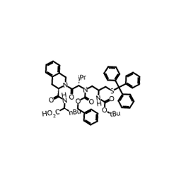 CCCC[C@H](NC(=O)[C@H]1Cc2ccccc2CN1C(=O)[C@H](C(C)C)N(CC(CSC(c1ccccc1)(c1ccccc1)c1ccccc1)NC(=O)OC(C)(C)C)C(=O)OCc1ccccc1)C(=O)O